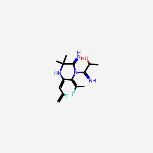 C=C(F)/C=C1/NC(C)(C)C(=N)N(C(=N)C(C)O)/C1=C(\C)F